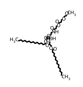 CCCCCCCCCCCCCCC(=O)OCC(COP(=O)(O)OCCNC(=O)CCOC(=O)CCOCCOC)OC(=O)CCCCCCCCCCCCCC